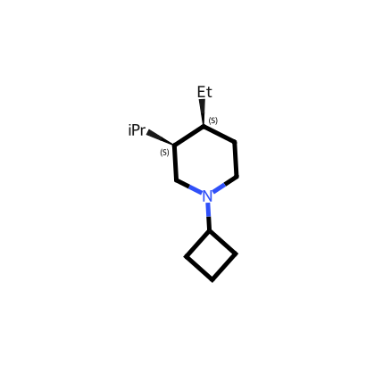 CC[C@H]1CCN(C2CCC2)C[C@H]1C(C)C